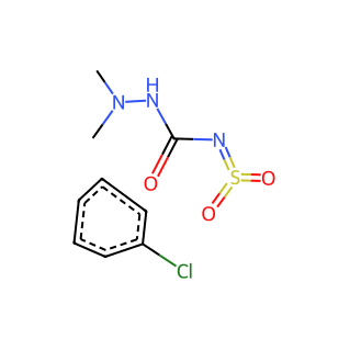 CN(C)NC(=O)N=S(=O)=O.Clc1ccccc1